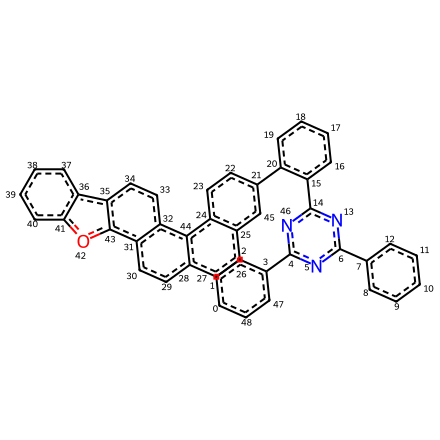 c1ccc(-c2nc(-c3ccccc3)nc(-c3ccccc3-c3ccc4c(ccc5ccc6c(ccc7c8ccccc8oc76)c54)c3)n2)cc1